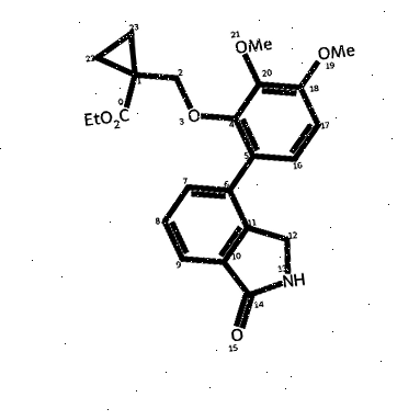 CCOC(=O)C1(COc2c(-c3cccc4c3CNC4=O)ccc(OC)c2OC)CC1